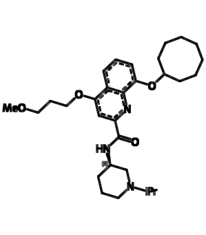 COCCCOc1cc(C(=O)N[C@@H]2CCCN(C(C)C)C2)nc2c(OC3CCCCCCC3)cccc12